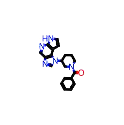 O=C(c1ccccc1)N1CCCC(n2cnc3cnc4[nH]ccc4c32)C1